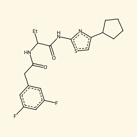 CCC(NC(=O)Cc1cc(F)cc(F)c1)C(=O)Nc1nc(C2CCCC2)cs1